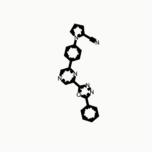 N#Cc1cccn1-c1ccc(-c2cncc(-c3nnc(-c4ccccc4)o3)n2)cc1